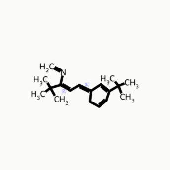 C=N/C(=C\C=C1\C=C(C(C)(C)C)C=CC1)C(C)(C)C